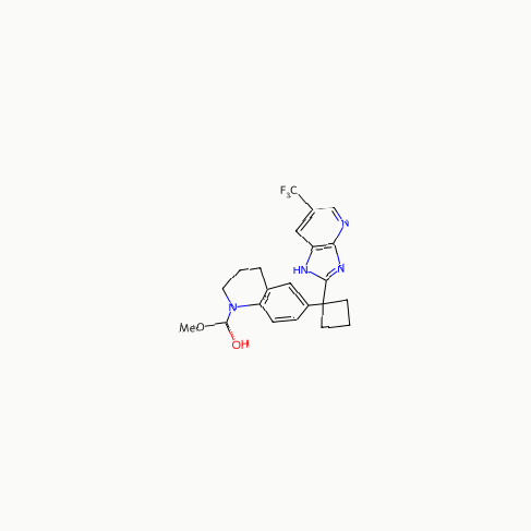 COC(O)N1CCCc2cc(C3(c4nc5ncc(C(F)(F)F)cc5[nH]4)CCC3)ccc21